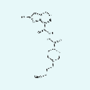 COCCCN1CCC(C(=O)NNC(=O)c2cccc3cn(C(C)C)nc23)CC1